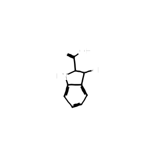 O=C(O)C1Nc2ccccc2C1Cl